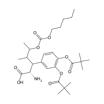 CCCCCOC(=O)OC(C)C(C)C(c1ccc(OC(=O)C(C)(C)C)c(OC(=O)C(C)(C)C)c1)[C@H](N)C(=O)O